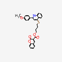 COc1ccc(-c2cc(SCCCCOC(=O)c3cc4ccccc4oc3=O)c3ccccc3n2)cc1